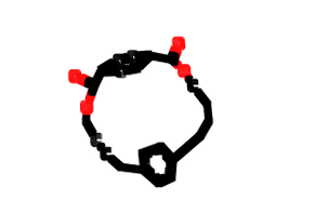 O=C1OCCCCc2ccc(cc2)CCCCOC(=O)c2ccc1cc2